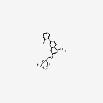 COC(COc1cc(C)c2ccc(-c3ccccc3F)cc2n1)OC